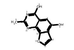 Cc1nc(O)c2cc(O)c3ccoc3c2n1